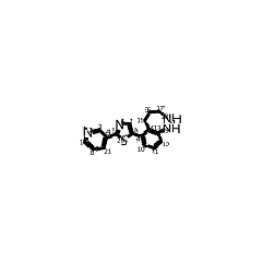 c1cncc(-c2ncc(-c3cccc4c3CCCNN4)s2)c1